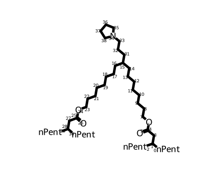 CCCCCC(CCCCC)CC(=O)OCCCCCCCCC(CCCCCCCCOC(=O)CC(CCCCC)CCCCC)CCCN1CCCC1